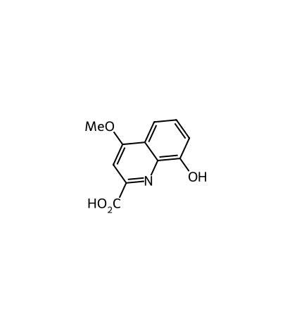 COc1cc(C(=O)O)nc2c(O)cccc12